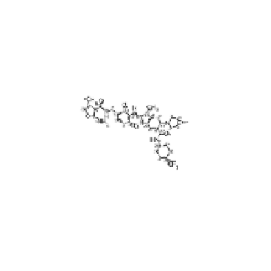 Cc1noc(N)c1C(=O)NCc1ccc(Cl)c(Nc2nc3cc(C(=O)NC4CCC(C(F)(F)F)CC4)c(N4CC5CC5C4)cc3n2C)c1Cl